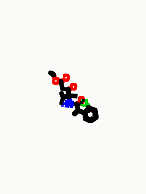 CCOC(=O)CC(=O)C(C)(NC(=O)C(C)c1ccccc1Cl)C(C)C